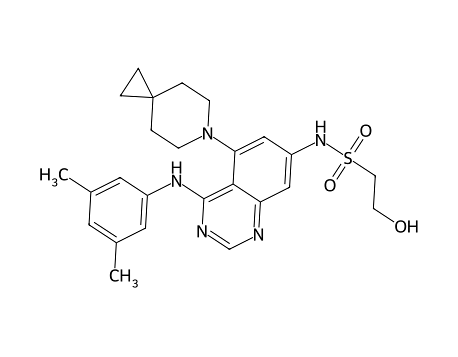 Cc1cc(C)cc(Nc2ncnc3cc(NS(=O)(=O)CCO)cc(N4CCC5(CC4)CC5)c23)c1